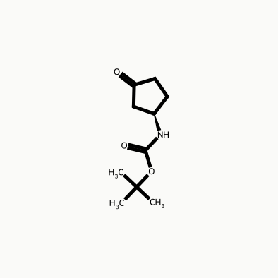 CC(C)(C)OC(=O)N[C@@H]1CCC(=O)C1